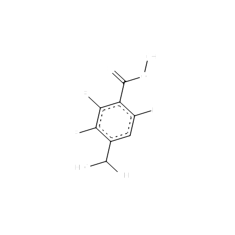 COC(=O)c1c(F)cc(C(C)C)c(F)c1F